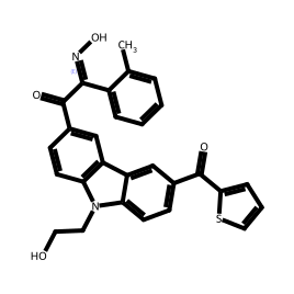 Cc1ccccc1/C(=N\O)C(=O)c1ccc2c(c1)c1cc(C(=O)c3cccs3)ccc1n2CCO